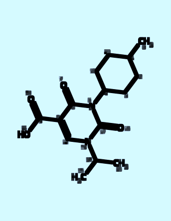 CC1CCC(n2c(=O)c(C(=O)O)cn(C(C)C)c2=O)CC1